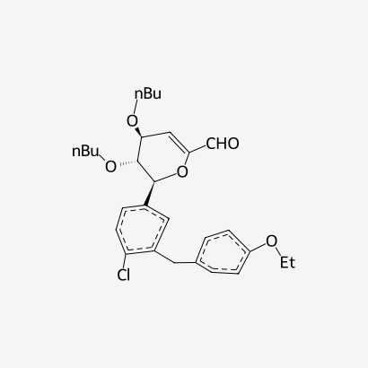 CCCCO[C@@H]1[C@@H](OCCCC)C=C(C=O)O[C@H]1c1ccc(Cl)c(Cc2ccc(OCC)cc2)c1